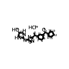 CC(c1cccc(C(=O)c2ccccc2)c1)c1nsc(N=C2NCC(O)CN2)n1.Cl